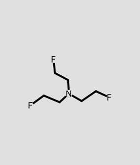 FCCN(CCF)CCF